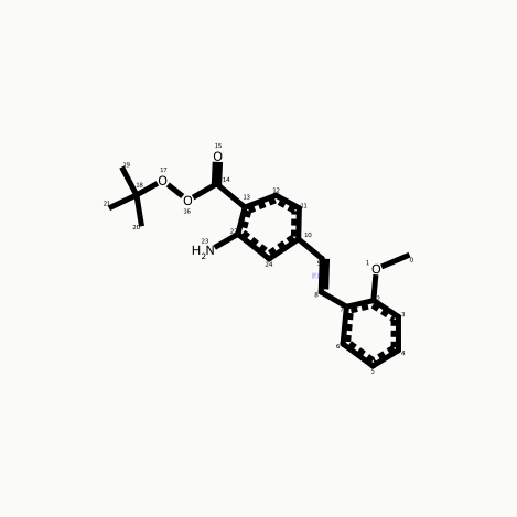 COc1ccccc1/C=C/c1ccc(C(=O)OOC(C)(C)C)c(N)c1